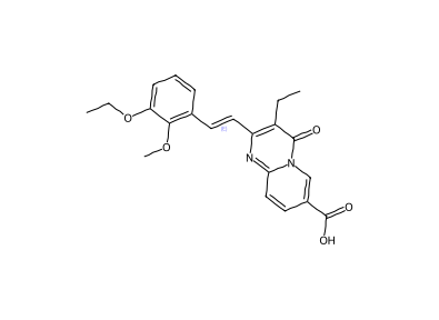 CCOc1cccc(/C=C/c2nc3ccc(C(=O)O)cn3c(=O)c2CC)c1OC